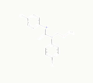 COCN(C(=O)Nc1ccc(Cl)cc1)c1ccc(Cl)cc1